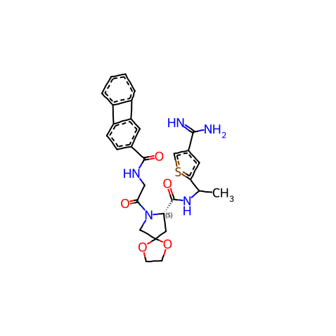 CC(NC(=O)[C@@H]1CC2(CN1C(=O)CNC(=O)c1ccc3c(c1)-c1ccccc1-3)OCCO2)c1cc(C(=N)N)cs1